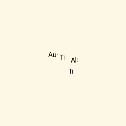 [Al].[Au].[Ti].[Ti]